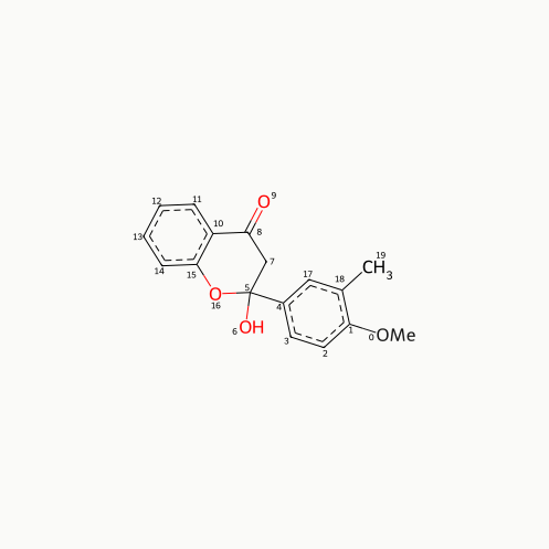 COc1ccc(C2(O)CC(=O)c3ccccc3O2)cc1C